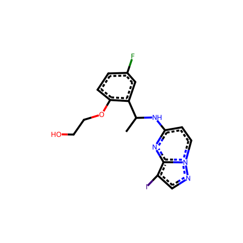 CC(Nc1ccn2ncc(I)c2n1)c1cc(F)ccc1OCCO